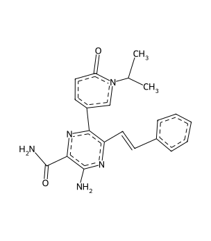 CC(C)n1cc(-c2nc(C(N)=O)c(N)nc2C=Cc2ccccc2)ccc1=O